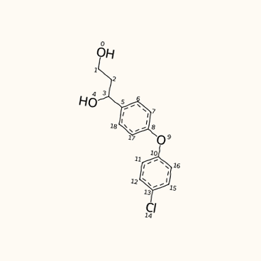 OCCC(O)c1ccc(Oc2ccc(Cl)cc2)cc1